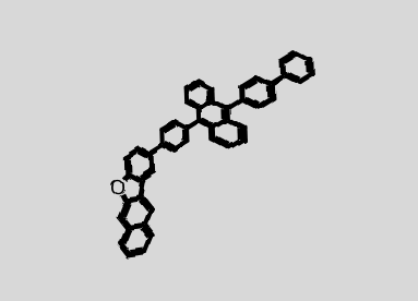 c1ccc(-c2ccc(-c3c4ccccc4c(-c4ccc(-c5ccc6oc7cc8ccccc8cc7c6c5)cc4)c4ccccc34)cc2)cc1